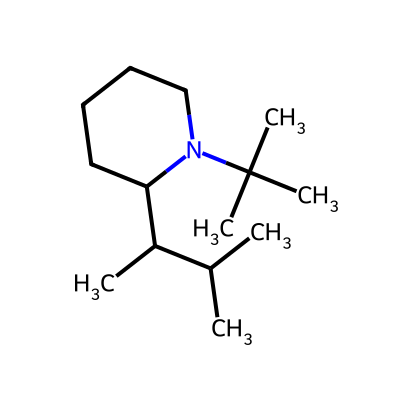 CC(C)C(C)C1CCCCN1C(C)(C)C